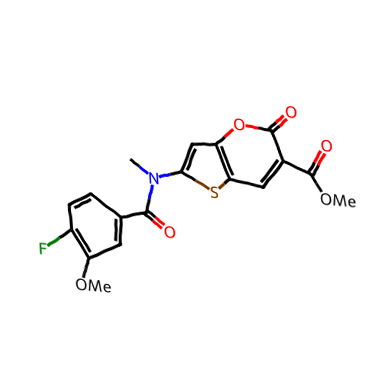 COC(=O)c1cc2sc(N(C)C(=O)c3ccc(F)c(OC)c3)cc2oc1=O